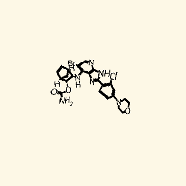 NC(=O)O[C@@H]1[C@H](Nc2c(Br)cnc3[nH]c(-c4ccc(N5CCOCC5)cc4Cl)nc23)[C@H]2C=C[C@@H]1C2